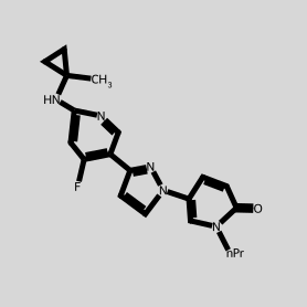 CCCn1cc(-n2ccc(-c3cnc(NC4(C)CC4)cc3F)n2)ccc1=O